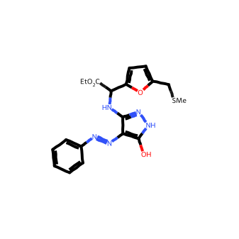 CCOC(=O)C(Nc1n[nH]c(O)c1N=Nc1ccccc1)c1ccc(CSC)o1